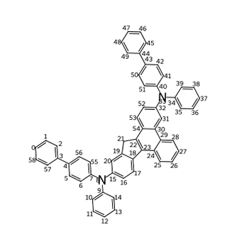 c1ccc(-c2ccc(N(c3ccccc3)c3ccc4c(c3)Cc3c-4c4ccccc4c4cc(N(c5ccccc5)c5ccc(-c6ccccc6)cc5)ccc34)cc2)cc1